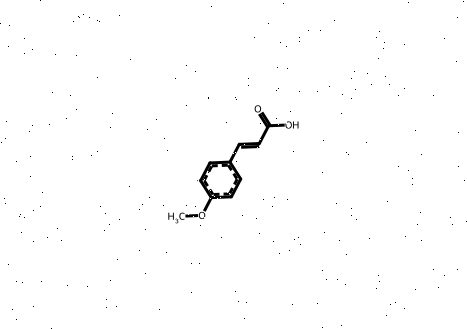 COc1[c]cc(/C=C/C(=O)O)cc1